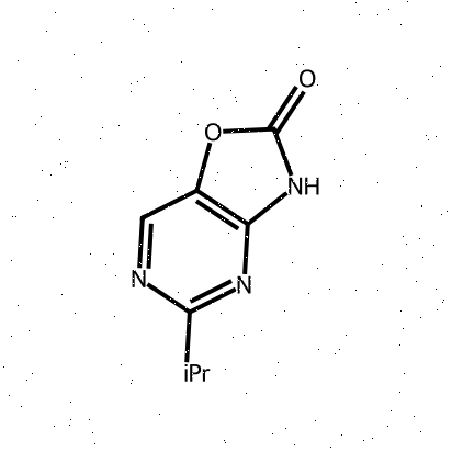 CC(C)c1ncc2oc(=O)[nH]c2n1